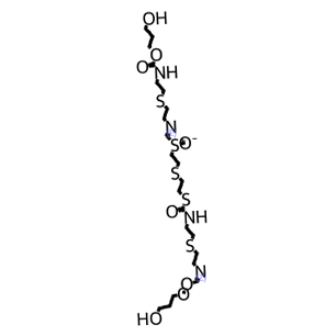 O=C(NCCSCC/N=C/[S+]([O-])CCSCCSC(=O)NCCSCC/N=C\OOCCCO)OCCCO